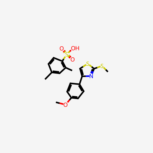 COc1ccc(-c2csc(SC)n2)cc1.Cc1ccc(S(=O)(=O)O)c(C)c1